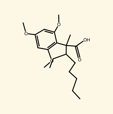 CCCCCC(CC)C(C)(C(=O)O)c1c(OC)cc(OC)cc1OC